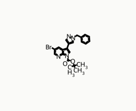 CC(C)(C)OC(=O)n1cc(-c2cnn(Cc3ccccc3)c2)c2cc(Br)cnc21